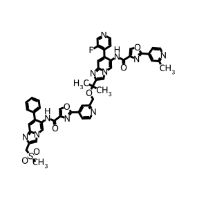 Cc1cc(-c2nc(C(=O)Nc3cn4cc(C(C)(C)OCc5cc(-c6nc(C(=O)Nc7cn8cc(CS(C)(=O)=O)nc8cc7-c7ccccc7)co6)ccn5)nc4cc3-c3ccncc3F)co2)ccn1